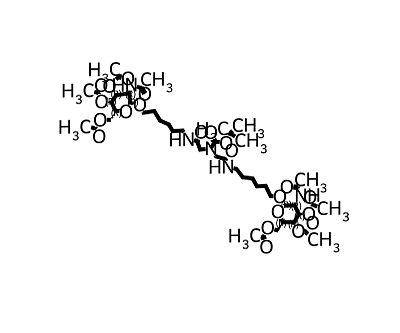 CC(=O)N[C@H]1[C@H](OCCCCCCNC(=O)CN(CC(=O)NCCCCCCO[C@@H]2O[C@H](COC(C)=O)[C@H](OC(C)=O)[C@H](OC(C)=O)[C@H]2NC(C)=O)C(=O)OC(C)(C)C)O[C@H](COC(C)=O)[C@H](OC(C)=O)[C@@H]1OC(C)=O